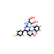 O=c1ccc2c(-c3ccc(S)cc3)nc(NC(CO)CO)nc2n1-c1c(F)cccc1F